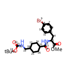 COC(=O)C(Cc1ccc(Br)cc1)NC(=O)C1CCC(CNC(=O)OC(C)(C)C)CC1